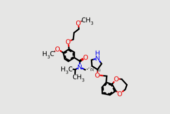 COCCCOc1cc(C(=O)N(C[C@@H]2CNC[C@H]2OCc2cccc3c2OCCCO3)C(C)C)ccc1OC